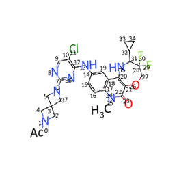 CC(=O)N1CC2(C1)CN(c1ncc(Cl)c(Nc3ccc4c(c3)c3c(c(=O)n4C)OCC(F)(F)C(C4CC4)N3)n1)C2